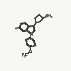 Cc1ccc2c(C3CCC(N)C3)cn(-c3ccc(OC(F)(F)F)cc3)c2c1